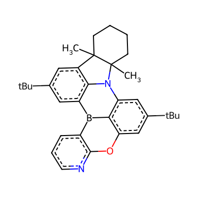 CC(C)(C)c1cc2c3c(c1)N1c4c(cc(C(C)(C)C)cc4C4(C)CCCCC14C)B3c1cccnc1O2